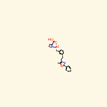 Cc1oc(-c2ccccc2)nc1CCc1cccc(CC(=O)N2CCCC2C(=O)O)c1